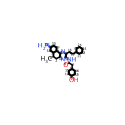 C[C@@H]1Cc2nc(NC(=O)Cc3ccc(O)cc3)c(/C=C/c3ccccc3)nc2-c2ccc(N)cc21